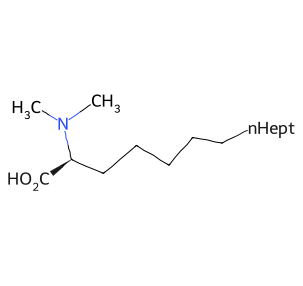 CCCCCCCCCCCC[C@@H](C(=O)O)N(C)C